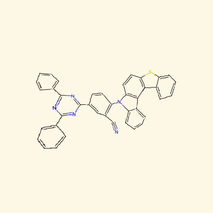 N#Cc1cc(-c2nc(-c3ccccc3)nc(-c3ccccc3)n2)ccc1-n1c2ccccc2c2c3c(ccc21)sc1ccccc13